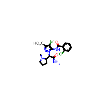 CN1CCCC1C(C(N)=O)n1nc(C(=O)O)c(Br)c1NC(=O)c1ccccc1Cl